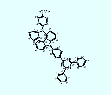 COc1ccc(N(c2ccccc2)c2cccc3c2c2ccccc2n3-c2ccc(-c3nc(-c4ccccc4)nc(-c4ccccc4)n3)cc2)cc1